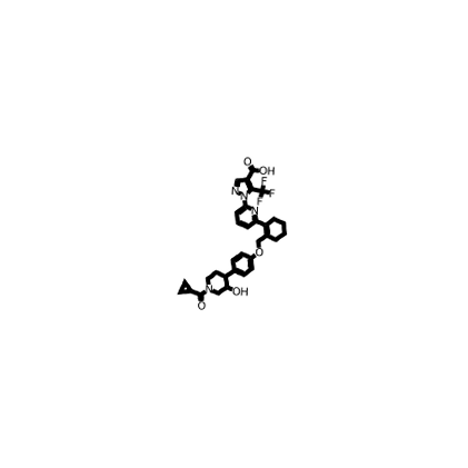 O=C(O)c1cnn(-c2cccc(C3=C(COc4ccc(C5CCN(C(=O)C6CC6)CC5O)cc4)CCCC3)n2)c1C(F)(F)F